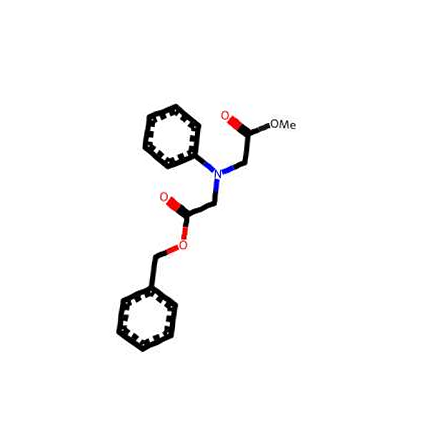 COC(=O)CN(CC(=O)OCc1ccccc1)c1ccccc1